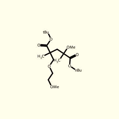 CCCCOC(=O)C(C)(CC(C)(COCCOC)C(=O)OC(C)(C)C)OC